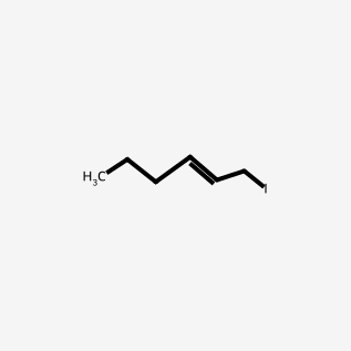 CCCC=CCI